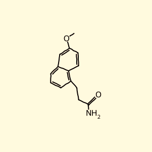 COc1ccc2c(CCC(N)=O)cccc2c1